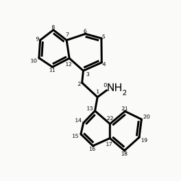 NC(Cc1cccc2ccccc12)c1cccc2ccccc12